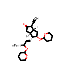 C#CC1C(=O)C[C@@H]2[C@@H](C=CC(CCCCC)OC3CCCCO3)[C@H](OC3CCCCO3)C[C@@H]12